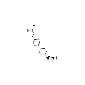 CCCCC[C@H]1CC[C@H](c2ccc(CC=C(F)F)cc2)CC1